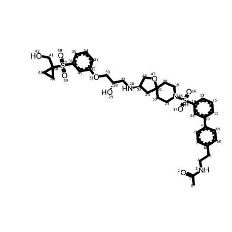 CC(=O)NCCc1ccc(-c2cccc(S(=O)(=O)N3CCC4(CC3)C[C@@H](NC[C@H](O)COc3cccc(S(=O)(=O)C5(CO)CC5)c3)CO4)c2)cc1